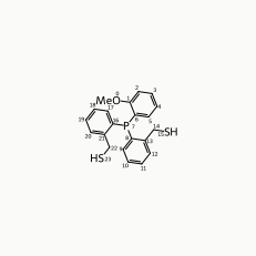 COc1ccccc1P(c1ccccc1CS)c1ccccc1CS